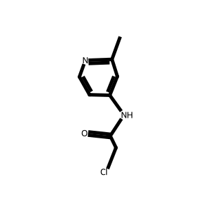 Cc1cc(NC(=O)CCl)ccn1